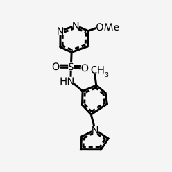 COc1cc(S(=O)(=O)Nc2cc(-n3cccc3)ccc2C)cnn1